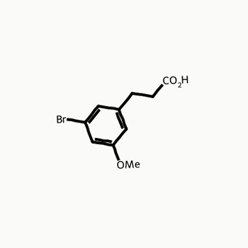 COc1cc(Br)cc(CCC(=O)O)c1